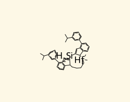 CC(C)c1cccc(-c2cccc3c2C=C2[SiH2]C4=Cc5c(-c6cccc(C(C)C)c6)cccc5[CH]4[Hf]([CH3])([CH3])[CH2]CCCC23)c1